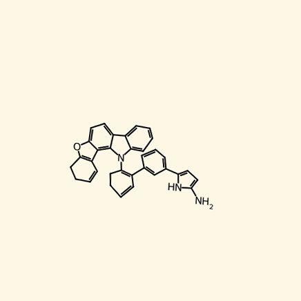 Nc1ccc(-c2cccc(C3=C(n4c5ccccc5c5ccc6oc7c(c6c54)C=CCC7)CCC=C3)c2)[nH]1